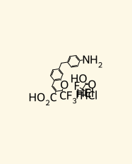 Cl.Cl.Nc1ccc(Cc2ccc3c(c2)OC(C(F)(F)F)C(C(=O)O)=C3)cc1.O=C(O)C(F)(F)F